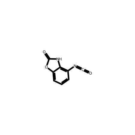 O=C=Nc1cccc2oc(=O)[nH]c12